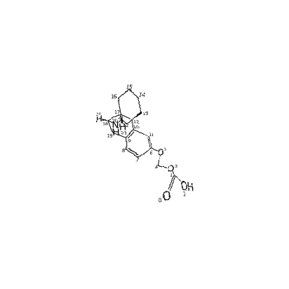 O=C(O)OCOc1ccc2c(c1)[C@@]13CCCC[C@H]1[C@@H](C2)NCC3